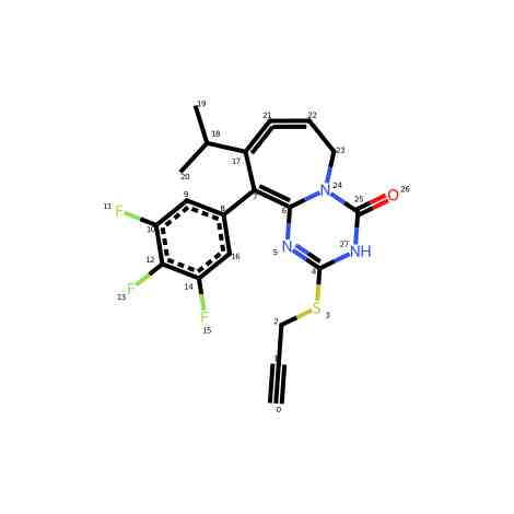 C#CCSC1=NC2=C(c3cc(F)c(F)c(F)c3)C(C(C)C)=C=CCN2C(=O)N1